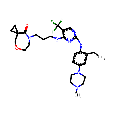 CCc1cc(N2CCN(C)CC2)ccc1Nc1ncc(C(F)(F)F)c(NCCCN2CCOCC3(CC3)C2=O)n1